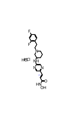 Cl.Cl.O=C(/C=C/c1cnc(N[C@@H]2CCCN(CCc3ccc(F)cc3F)C2)cn1)NO